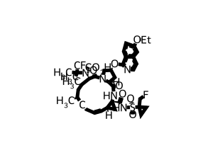 CCOc1ccc2c(O[C@@H]3C[C@H]4C(=O)N[C@]5(C(=O)NS(=O)(=O)C6(CF)CC6)C[C@H]5C=CCC[C@@H](C)C[C@@H](C)[C@H](N(C(=O)O)C(C)(C)C(F)(F)F)C(=O)N4C3)nccc2c1